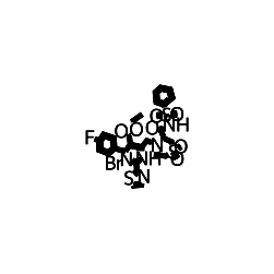 CCOC(=O)C1=C(CN2CCS(=O)(=O)CC2C(=O)NS(=O)(=O)c2ccccc2)NC(c2nccs2)=NC1c1ccc(F)cc1Br